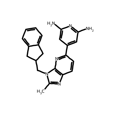 Cc1nc2ccc(-c3cc(N)nc(N)c3)nc2n1CC1Cc2ccccc2C1